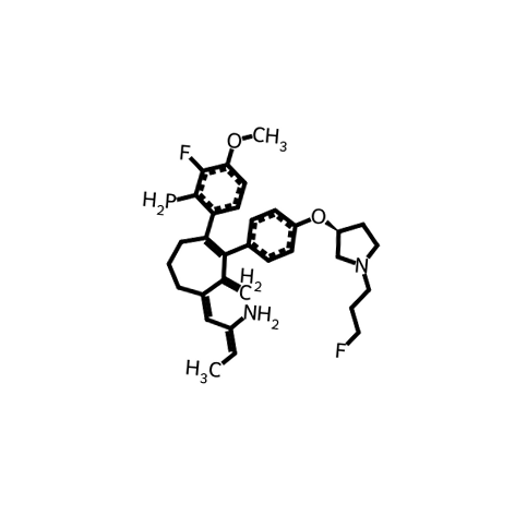 C=C1C(c2ccc(O[C@H]3CCN(CCCF)C3)cc2)=C(c2ccc(OC)c(F)c2P)CCC/C1=C/C(N)=C\C